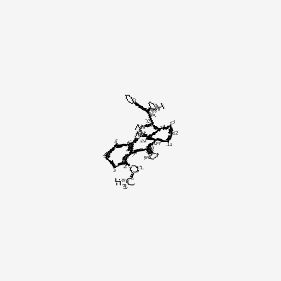 COc1cccc2c1c(=O)c1cccc3c(C(=O)O)nn2c31